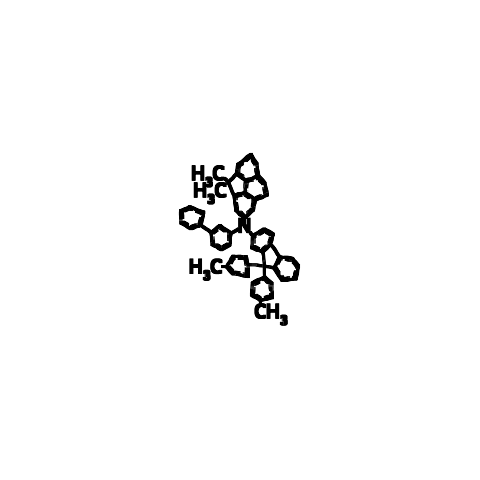 Cc1ccc(C2(c3ccc(C)cc3)c3ccccc3-c3ccc(N(c4cccc(-c5ccccc5)c4)c4cc5c6c(ccc7cccc(c76)C5(C)C)c4)cc32)cc1